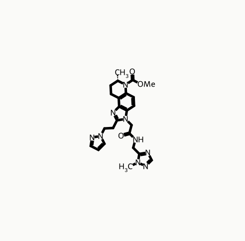 COC(=O)N1c2ccc3c(nc(CCn4cccn4)n3CC(=O)NCc3ncnn3C)c2CC[C@@H]1C